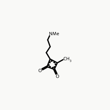 CNCCCc1c(C)c(=O)c1=O